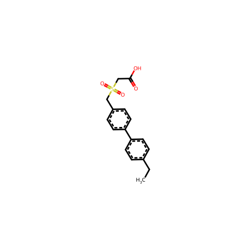 CCc1ccc(-c2ccc(CS(=O)(=O)CC(=O)O)cc2)cc1